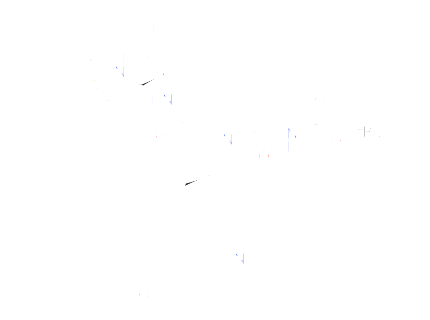 Cc1nc2ccc(OC(F)F)cc2c2c1O[C@]1(CC2)C[C@H]2C(=O)N[C@]3(C(=O)NS(=O)(=O)C4(C)CC4)C[C@H]3/C=C\CCCCC[C@H](NC(=O)OC(C)(C)C)C(=O)N2C1